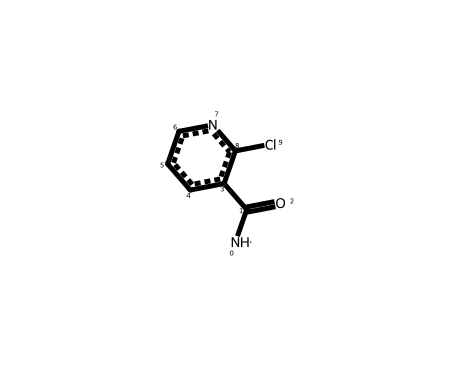 [NH]C(=O)c1cccnc1Cl